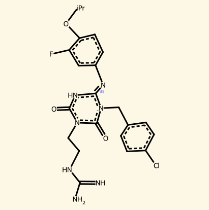 CC(C)Oc1ccc(/N=c2\[nH]c(=O)n(CCNC(=N)N)c(=O)n2Cc2ccc(Cl)cc2)cc1F